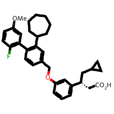 COc1ccc(F)c(-c2ccc(COc3cccc([C@@H](CC(=O)O)CC4CC4)c3)cc2C2CCCCCC2)c1